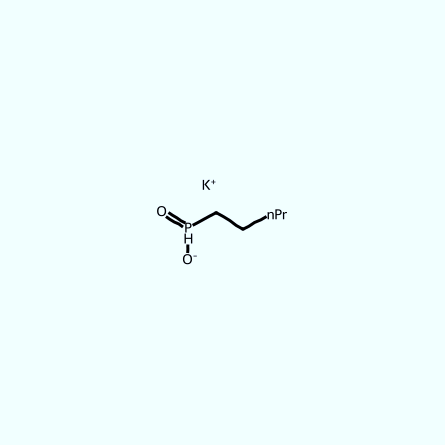 CCCCC[PH](=O)[O-].[K+]